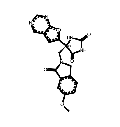 COc1ccc2c(c1)C(=O)N(C[C@@]1(c3cc4cncnc4o3)NC(=O)NC1=O)C2